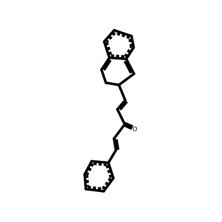 O=C(/C=C/c1ccccc1)/C=C/C1C=c2ccccc2=CC1